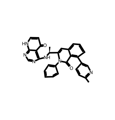 Cc1ccc(-c2cccc3cc([C@H](C)Nc4ncnc5[nH]ccc(=O)c45)n(-c4ccccc4)c(=O)c23)cn1